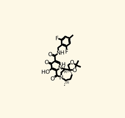 Cc1cc(F)c(CNC(=O)c2cn3c(c(O)c2=O)C(=O)N2C[C@@H]3[C@@]3(CC[C@@H]2C)COC(C)(C)O3)c(F)c1